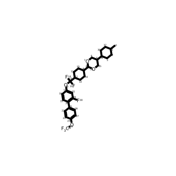 CC1CCC(C2COC(C3CCC(C(F)(F)Oc4ccc(-c5ccc(OC(F)(F)F)cc5)c(F)c4)CC3)OC2)CC1